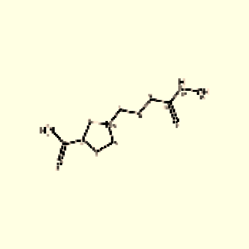 NC(=O)C1CCN(CCCC(=O)NO)C1